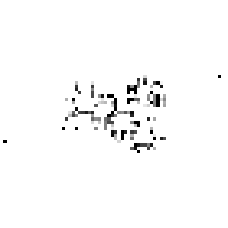 O=CC(Oc1cccc(Cl)c1Cl)C(c1ccccc1)c1ncc[nH]1